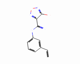 C=Cc1cccc(NC(=N)c2nonc2O)c1